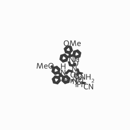 COc1ccc(C(NCCC(=O)N(CC(CN)OP(OCCC#N)N(C(C)C)C(C)C)C(=O)CCNC(c2ccccc2)(c2ccccc2)c2ccc(OC)cc2)(c2ccccc2)c2ccccc2)cc1